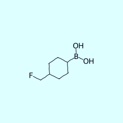 OB(O)C1CCC(CF)CC1